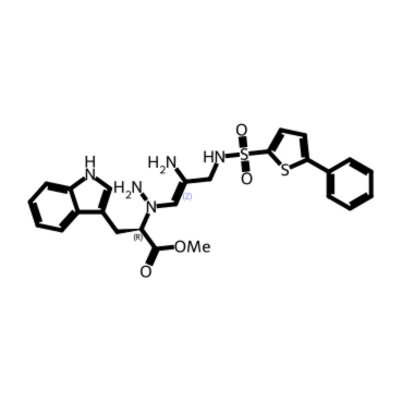 COC(=O)[C@@H](Cc1c[nH]c2ccccc12)N(N)/C=C(\N)CNS(=O)(=O)c1ccc(-c2ccccc2)s1